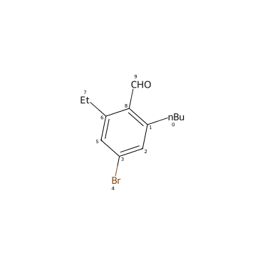 CCCCc1cc(Br)cc(CC)c1C=O